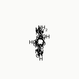 Nc1ncnc2c1ncn2[C@@H]1O[C@@H]2COP(=O)(O)O[C@@H]3CC(OCC[C@H]2[C@H]1O)O[C@H]3n1cnc2c(=O)[nH]cnc21